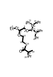 CCOC(COP(N(C(C)C)C(C)C)N(C(C)C)C(C)C)OCCSC(=O)C(C)C(C)C